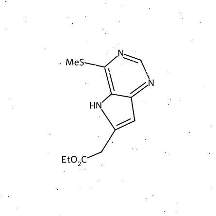 CCOC(=O)Cc1cc2ncnc(SC)c2[nH]1